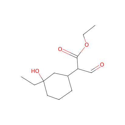 CCOC(=O)C(C=O)C1CCCC(O)(CC)C1